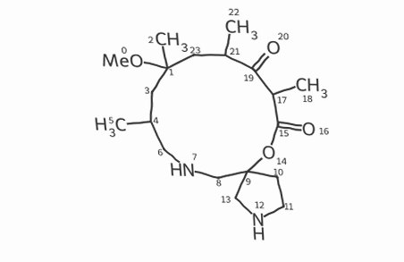 COC1(C)CC(C)CNCC2(CCNC2)OC(=O)C(C)C(=O)C(C)C1